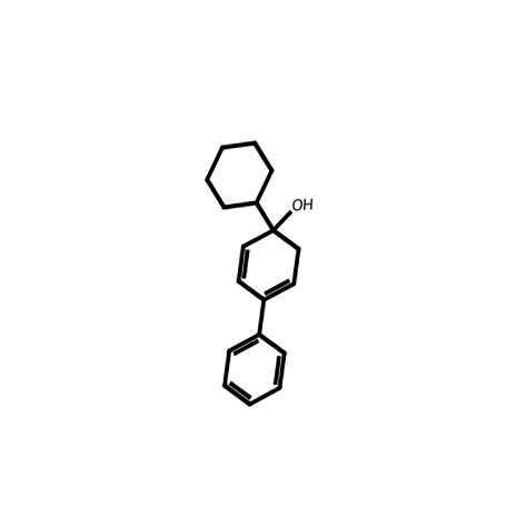 OC1(C2CCCCC2)C=CC(c2ccccc2)=CC1